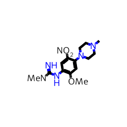 CNC(=N)Nc1cc([N+](=O)[O-])c(N2CCN(C)CC2)cc1OC